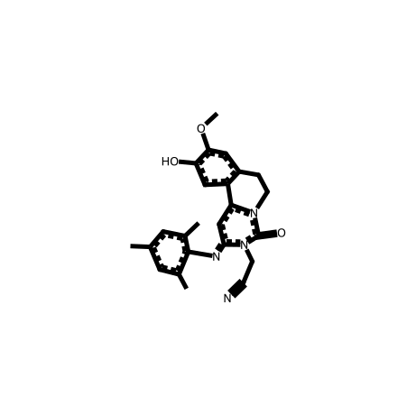 COc1cc2c(cc1O)-c1c/c(=N\c3c(C)cc(C)cc3C)n(CC#N)c(=O)n1CC2